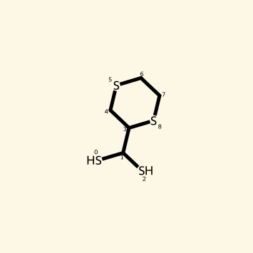 SC(S)C1CSCCS1